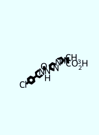 CN(C(=O)O)[C@@H]1CCN(c2ccc(NC(=O)N3CCC(c4ccc(Cl)cc4)CC3)cn2)C1